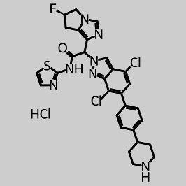 Cl.O=C(Nc1nccs1)C(c1ncn2c1C[C@@H](F)C2)n1cc2c(Cl)cc(-c3ccc(C4CCNCC4)cc3)c(Cl)c2n1